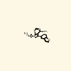 NCC1CC(n2cc(-c3ccc4occc4c3)c3c(N)ncnc32)C1